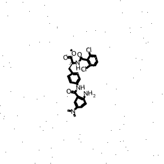 COC(=O)[C@H](Cc1ccc(NC(=O)c2cc(N(C)C)ccc2N)cc1)NC(=O)c1c(Cl)cccc1Cl